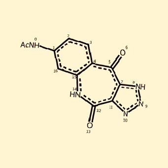 CC(=O)Nc1ccc2c(=O)c3[nH]nnc3c(=O)[nH]c2c1